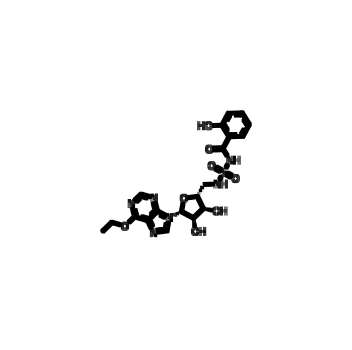 CCOc1ncnc2c1ncn2[C@@H]1O[C@H](CNS(=O)(=O)NC(=O)c2ccccc2O)[C@@H](O)[C@H]1O